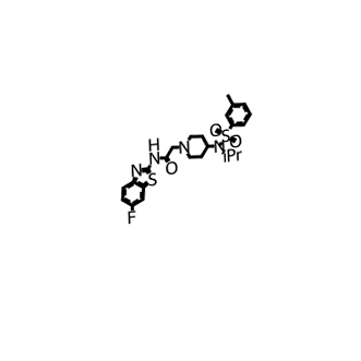 Cc1cccc(S(=O)(=O)N(C(C)C)C2CCN(CC(=O)Nc3nc4ccc(F)cc4s3)CC2)c1